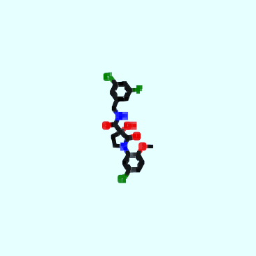 COc1ccc(Cl)cc1N1CCC(O)(C(=O)NCc2cc(F)cc(Cl)c2)C1=O